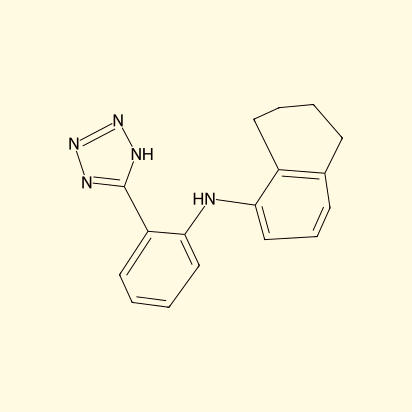 c1ccc(-c2nnn[nH]2)c(Nc2cccc3c2CCCC3)c1